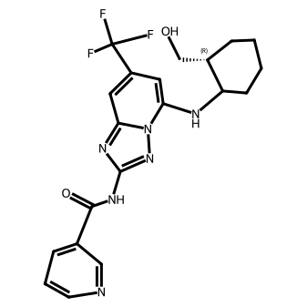 O=C(Nc1nc2cc(C(F)(F)F)cc(NC3CCCC[C@H]3CO)n2n1)c1cccnc1